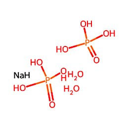 O.O.O=P(O)(O)O.O=P(O)(O)O.[NaH]